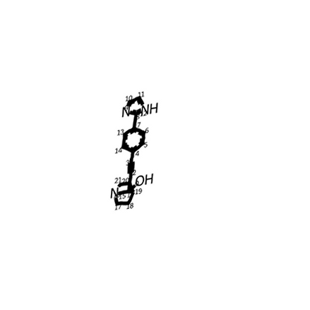 OC1(C#Cc2ccc(-c3ncc[nH]3)cc2)CN2CCC1CC2